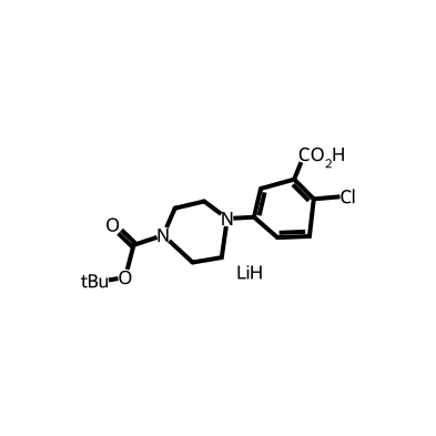 CC(C)(C)OC(=O)N1CCN(c2ccc(Cl)c(C(=O)O)c2)CC1.[LiH]